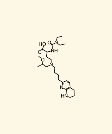 CCN(CC)C(=O)NC(CCN(CCCCc1ccc2c(n1)NCCC2)CC(C)OC)C(=O)O